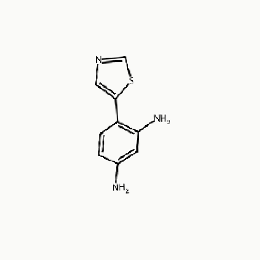 Nc1ccc(-c2cncs2)c(N)c1